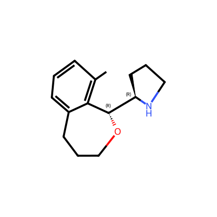 Cc1cccc2c1[C@H]([C@H]1CCCN1)OCCC2